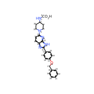 O=C(O)NC1CCN(c2ccc3nc(-c4ccc(OCc5ccccc5)cc4)[nH]c3n2)CC1